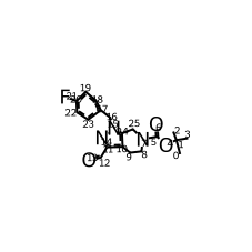 CC(C)(C)OC(=O)N1CCc2c(C=O)nn(Cc3ccc(F)cc3)c2C1